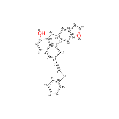 Oc1ccc2cc(C#CCc3ccccc3)ccc2c1Cc1ccc2occc2c1